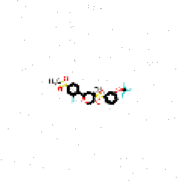 CC1(S(=O)(=O)c2cccc(OC(F)(F)F)c2)CCOC(c2ccc(S(C)(=O)=O)cc2F)C1